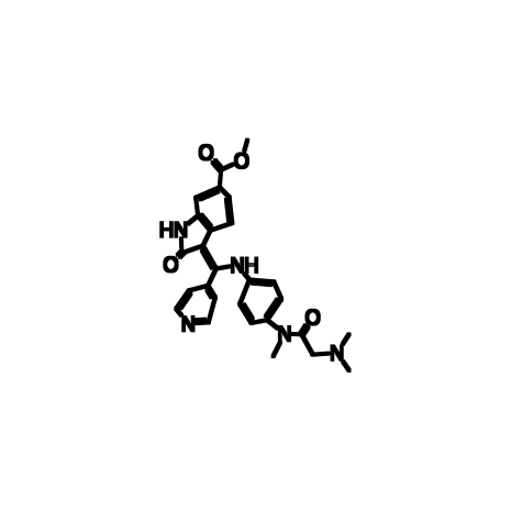 COC(=O)c1ccc2c(c1)NC(=O)C2=C(Nc1ccc(N(C)C(=O)CN(C)C)cc1)c1ccncc1